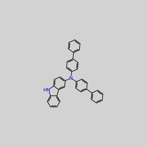 c1ccc(-c2ccc(N(c3ccc(-c4ccccc4)cc3)c3ccc4[nH]c5ccccc5c4c3)cc2)cc1